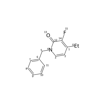 CCc1ccn(Cc2ccccc2)c(=O)c1F